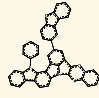 c1ccc(-n2c3ccccc3c3ccc4c(c5cc(-c6ccc7sc8ccccc8c7c6)cc6c7nc8ccccc8nc7n4c65)c32)cc1